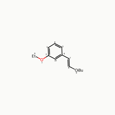 CCOc1cccc(C=COCC(C)C)c1